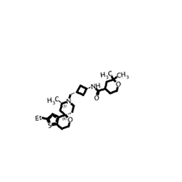 CCc1cc2c(s1)CCO[C@@]21CCN(C[C@H]2C[C@@H](NC(=O)C3CCOC(C)(C)C3)C2)[C@@H](C)C1